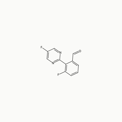 O=Cc1cccc(F)c1-c1ncc(F)cn1